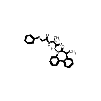 CC1C(=O)N(NC(=O)[C@H](C)NC(=O)CSc2ccccc2)c2ccccc2-c2ccccc21